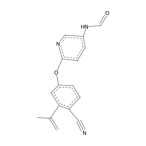 C=C(C)c1cc(Oc2ccc(NC=O)cn2)ccc1C#N